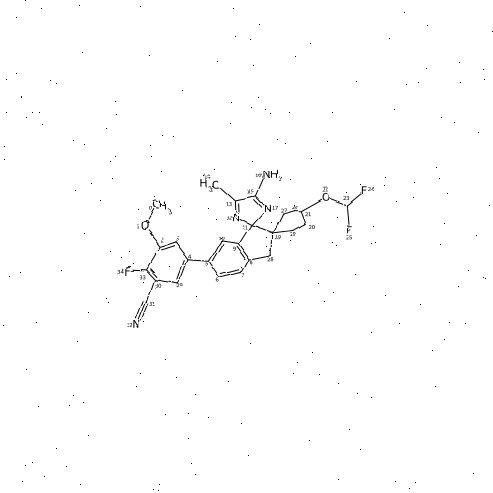 COc1cc(-c2ccc3c(c2)C2(N=C(C)C(N)=N2)C2(CCC(OC(F)F)CC2)C3)cc(C#N)c1F